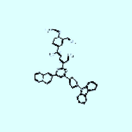 C=CC1=CC(/C(C)=C/C=C(\C=C)c2nc(C3=CC4C=CC=CC4C=C3)cc(C3=CC=C(n4c5ccccc5c5ccccc54)CC3)n2)=CCC1/N=C\C